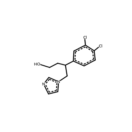 OCCC(Cn1ccnc1)c1ccc(Cl)c(Cl)c1